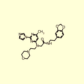 Cc1cc(N(CCN2CCOCC2)CC(=O)NCCc2ccc3c(c2)OCO3)nc(-n2ccnc2)n1